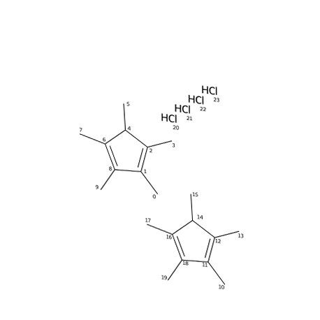 CC1=C(C)C(C)C(C)=C1C.CC1=C(C)C(C)C(C)=C1C.Cl.Cl.Cl.Cl